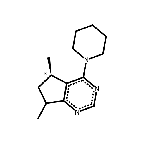 CC1C[C@@H](C)c2c1ncnc2N1CCCCC1